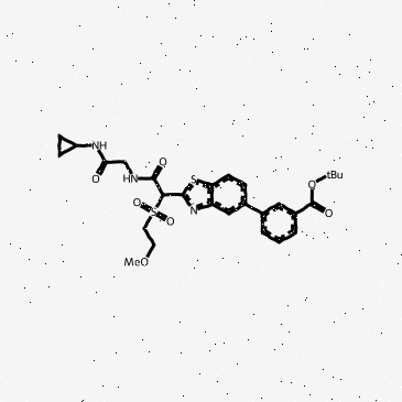 COCCS(=O)(=O)C(C(=O)NCC(=O)NC1CC1)c1nc2cc(-c3cccc(C(=O)OC(C)(C)C)c3)ccc2s1